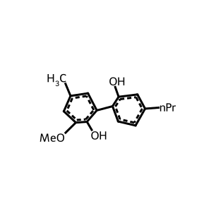 CCCc1ccc(-c2cc(C)cc(OC)c2O)c(O)c1